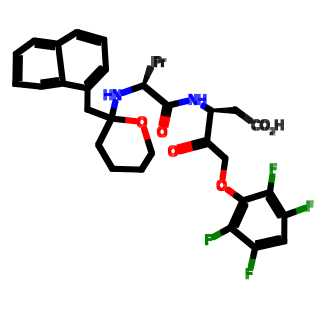 CC(C)[C@H](NC1(Cc2cccc3ccccc23)CCCCO1)C(=O)N[C@@H](CC(=O)O)C(=O)COc1c(F)c(F)cc(F)c1F